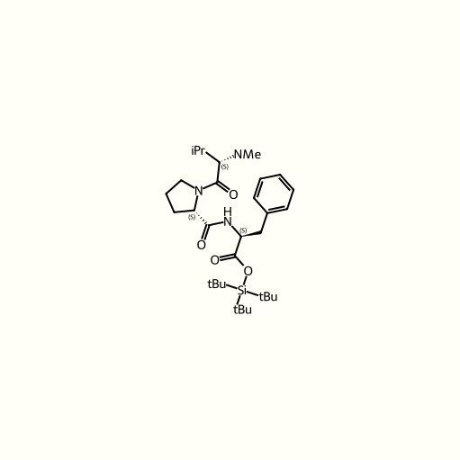 CN[C@H](C(=O)N1CCC[C@H]1C(=O)N[C@@H](Cc1ccccc1)C(=O)O[Si](C(C)(C)C)(C(C)(C)C)C(C)(C)C)C(C)C